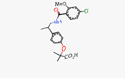 COc1cc(Cl)ccc1C(=O)NCC(C)c1ccc(OC(C)(C)C(=O)O)cc1